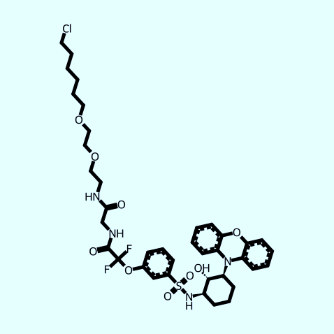 O=C(CNC(=O)C(F)(F)Oc1cccc(S(=O)(=O)N[C@@H]2CCC[C@H](N3c4ccccc4Oc4ccccc43)[C@H]2O)c1)NCCOCCOCCCCCCCl